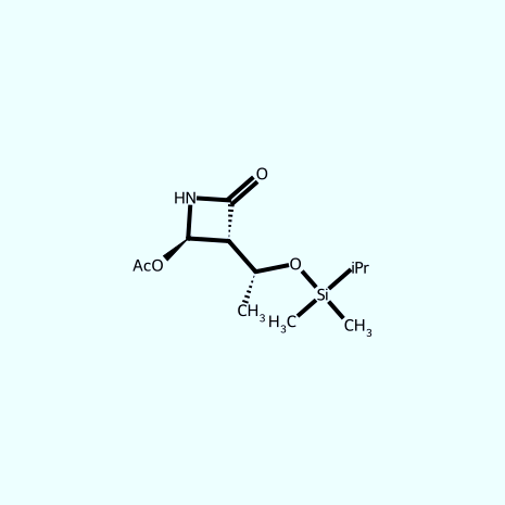 CC(=O)O[C@H]1NC(=O)[C@@H]1[C@@H](C)O[Si](C)(C)C(C)C